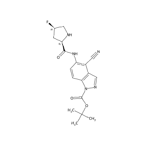 CC(C)(C)OC(=O)n1ncc2c(C#N)c(NC(=O)[C@H]3C[C@@H](F)CN3)ccc21